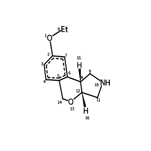 CCOc1ccc2c(c1)[C@@H]1CNC[C@@H]1OC2